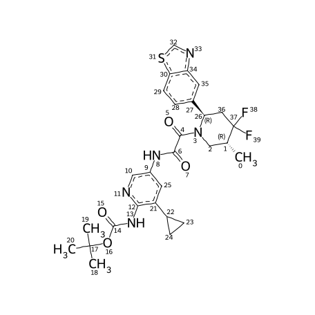 C[C@@H]1CN(C(=O)C(=O)Nc2cnc(NC(=O)OC(C)(C)C)c(C3CC3)c2)[C@@H](c2ccc3scnc3c2)CC1(F)F